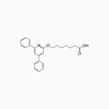 O=C(O)CCCCCCOc1cc(-c2ccccc2)cc(-c2ccccc2)n1